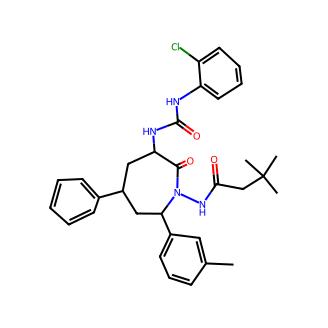 Cc1cccc(C2CC(c3ccccc3)CC(NC(=O)Nc3ccccc3Cl)C(=O)N2NC(=O)CC(C)(C)C)c1